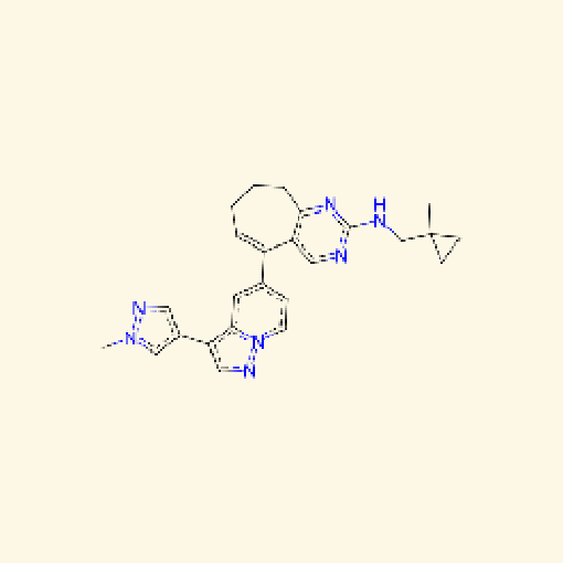 Cn1cc(-c2cnn3ccc(C4=CCCCc5nc(NCC6(C)CC6)ncc54)cc23)cn1